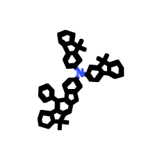 CC1(C)c2ccccc2-c2ccc(N(c3ccc4c(c3)Cc3cc5c(c(-c6ccccc6)c3-4)C3=CCCCC3C5(C)C)c3ccc4c(c3)C(C)(C)c3ccccc3-4)cc21